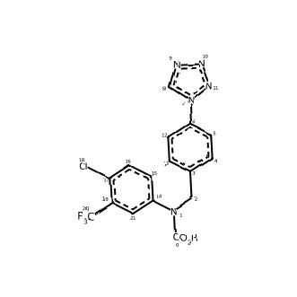 O=C(O)N(Cc1ccc(-n2cnnn2)cc1)c1ccc(Cl)c(C(F)(F)F)c1